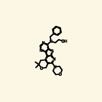 CC1(C)Cc2c(c(N3CCOCC3)nc3sc4c(N(CCO)Cc5ccccc5)ncnc4c23)CO1